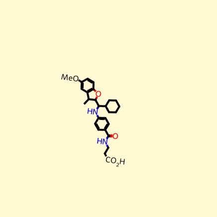 COc1ccc2c(c1)C(C)C(C(Nc1ccc(C(=O)NCCC(=O)O)cc1)C1CCCCC1)O2